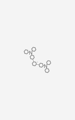 [c]1c(-c2ccc(N(c3ccccc3)c3ccccc3)cc2)cccc1-c1ccc(N(c2ccccc2)c2ccccc2)cc1